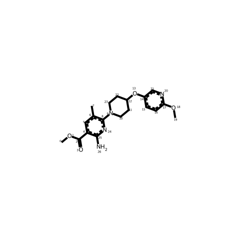 COC(=O)c1cc(C)c(N2CCC(Oc3ccc(OC)nc3)CC2)nc1N